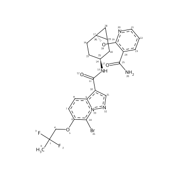 CC(F)(F)COc1ccc2c(C(=O)N[C@H]3CC[C@@]4(Oc5ncccc5C(N)=O)CC4C3)cnn2c1Br